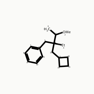 [CH2]C(OC)C(CC)(Cc1ccccc1)CC1CCC1